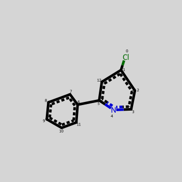 Clc1[c]cnc(-c2ccccc2)c1